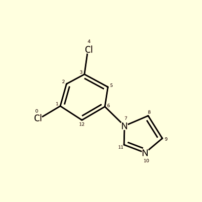 Clc1cc(Cl)cc(-n2ccnc2)c1